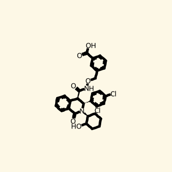 O=C(O)c1cccc(CONC(=O)[C@@H]2c3ccccc3C(=O)N([C@H]3CCCCC3O)[C@H]2c2ccc(Cl)cc2Cl)c1